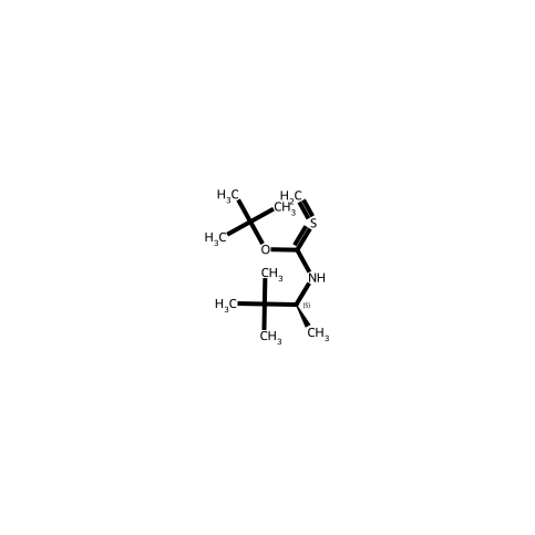 C=S=C(N[C@@H](C)C(C)(C)C)OC(C)(C)C